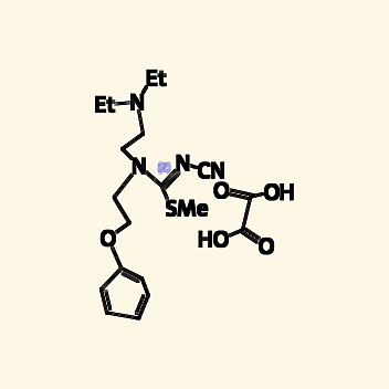 CCN(CC)CCN(CCOc1ccccc1)/C(=N/C#N)SC.O=C(O)C(=O)O